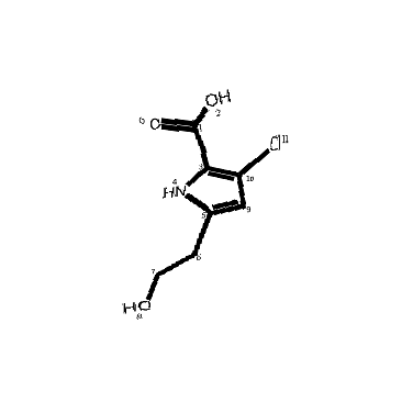 O=C(O)c1[nH]c(CCO)cc1Cl